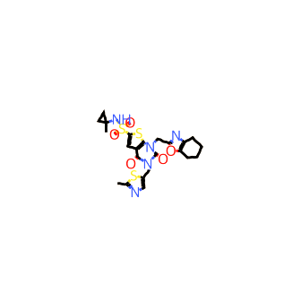 Cc1ncc(Cn2c(=O)c3cc(S(=O)(=O)NC4(C)CC4)sc3n(Cc3nc4c(o3)CCCC4)c2=O)s1